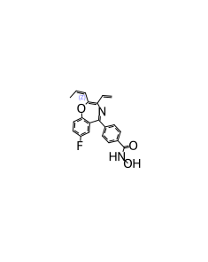 C=CC1=C(/C=C\C)Oc2ccc(F)cc2C(c2ccc(C(=O)NO)cc2)=N1